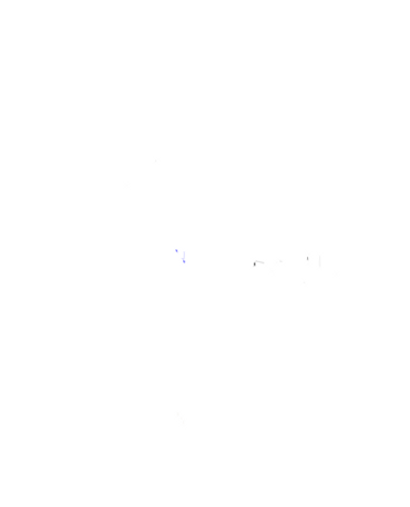 CC1(C)c2ccccc2-c2cccc(-c3cccc(N(c4ccc(-c5cccc6sc7ccccc7c56)cc4)c4ccc5c(c4)C4(CCCCC4)c4ccccc4-5)c3)c21